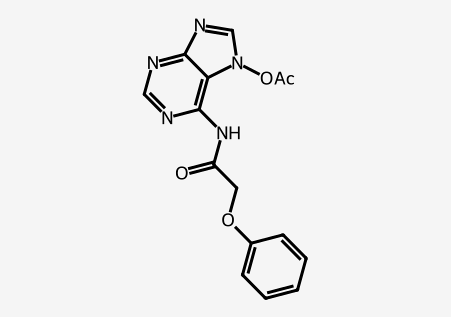 CC(=O)On1cnc2ncnc(NC(=O)COc3ccccc3)c21